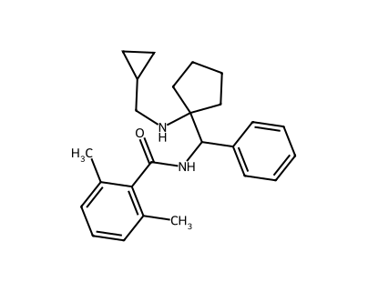 Cc1cccc(C)c1C(=O)NC(c1ccccc1)C1(NCC2CC2)CCCC1